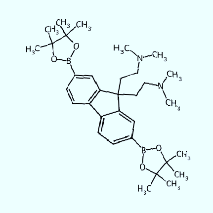 CN(C)CCC1(CCN(C)C)c2cc(B3OC(C)(C)C(C)(C)O3)ccc2-c2ccc(B3OC(C)(C)C(C)(C)O3)cc21